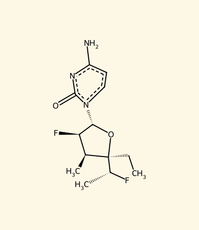 CC[C@@]1([C@@H](C)F)O[C@@H](n2ccc(N)nc2=O)[C@H](F)[C@@H]1C